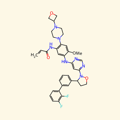 C=CC(=O)Nc1cc(Nc2cc(N3OCCC3c3cccc(-c4cccc(F)c4F)c3)ncn2)c(OC)cc1N1CCN(C2COC2)CC1